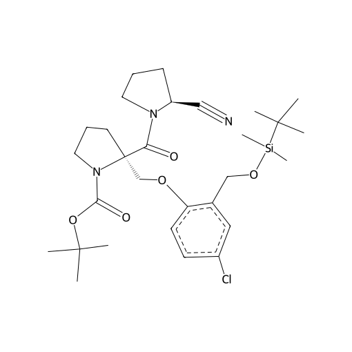 CC(C)(C)OC(=O)N1CCC[C@@]1(COc1ccc(Cl)cc1CO[Si](C)(C)C(C)(C)C)C(=O)N1CCC[C@H]1C#N